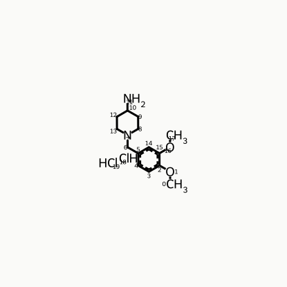 COc1ccc(CN2CCC(N)CC2)cc1OC.Cl.Cl